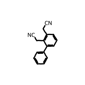 N#CCc1cccc(-c2ccccc2)c1CC#N